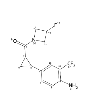 Nc1ccc(C2CC2C(=O)N2CC(F)C2)cc1C(F)(F)F